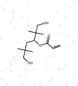 C=CC(=O)OC(CC(C)(C)CO)C(C)(C)CO